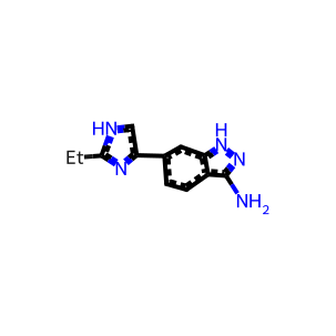 CCc1nc(-c2ccc3c(N)n[nH]c3c2)c[nH]1